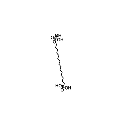 O=P(O)(O)CCCCCCCCCCCCCCCOP(=O)(O)O